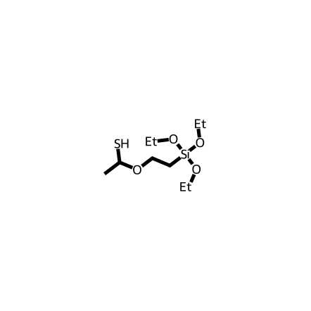 CCO[Si](CCOC(C)S)(OCC)OCC